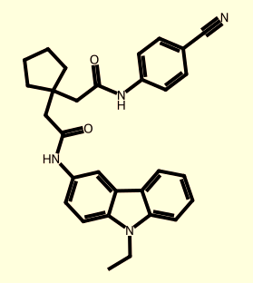 CCn1c2ccccc2c2cc(NC(=O)CC3(CC(=O)Nc4ccc(C#N)cc4)CCCC3)ccc21